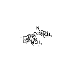 C[C@H](Oc1cc(O[C@H]2CCN(C(=O)OC(C)(C)C)[C@H](CC#N)C2)nc(-c2cc(C(C)(C)c3c(F)cccc3F)no2)n1)[C@@H]1C[C@H](F)CN1C